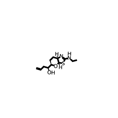 C=CC[C@H](O)[C@H]1CC[C@H]2N=C(NCC)S[C@H]2O1